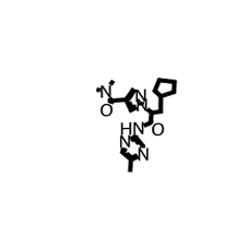 Cc1cnc(NC(=O)C(CC2CCCC2)n2cc(C(=O)N(C)C)cn2)cn1